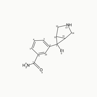 CCC1(c2cccc(C(N)=O)c2)C2CNCC21